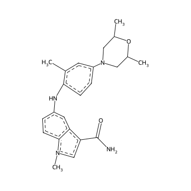 Cc1cc(N2CC(C)OC(C)C2)ccc1Nc1ccc2c(c1)c(C(N)=O)cn2C